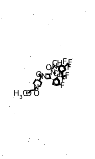 COCC(=O)N1CCC(C(=O)N2C[C@@H](N(C)C(=O)N(C)c3cc(C(F)(F)F)cc(C(F)(F)F)c3)[C@H](c3ccc(F)cc3)C2)CC1